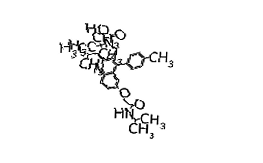 Cc1ccc(-c2c(CN(C(=O)O)C(C)(C)C)c(CC(C)C)nc3ccc(OCC(=O)NC(C)C)cc23)cc1